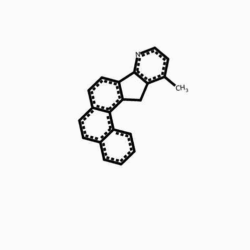 Cc1ccnc2c1Cc1c-2ccc2ccc3ccccc3c12